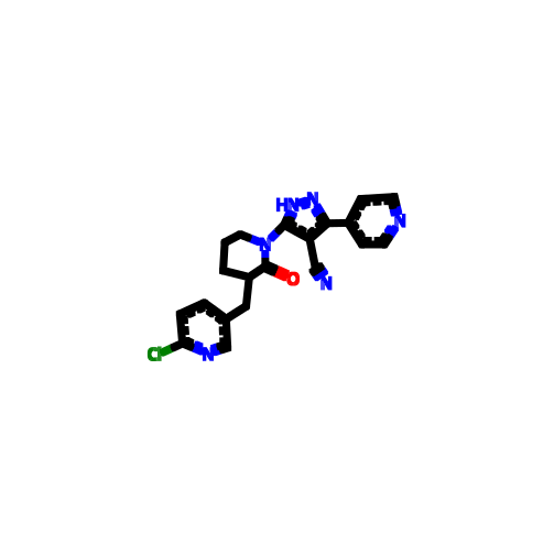 N#Cc1c(-c2ccncc2)n[nH]c1N1CCCC(Cc2ccc(Cl)nc2)C1=O